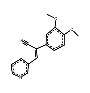 COc1ccc(/C(C#N)=C/c2cccnc2)cc1OC